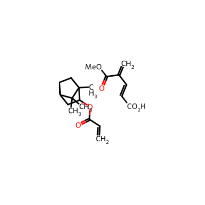 C=C(C=CC(=O)O)C(=O)OC.C=CC(=O)OC1CC2CCC1(C)C2(C)C